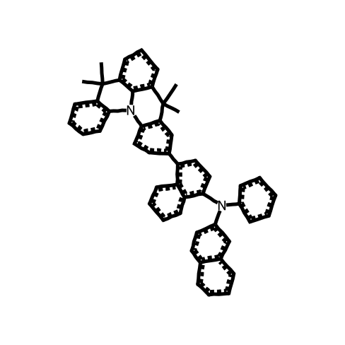 CC1(C)c2ccccc2N2c3ccc(-c4ccc(N(c5ccccc5)c5ccc6ccccc6c5)c5ccccc45)cc3C(C)(C)c3cccc1c32